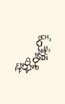 COc1ccc(CNc2nc3ccc(C(=O)N(CC4CC4)C4COCc5nc(C(F)(F)F)ccc54)cc3n3cnc(C)c23)cc1